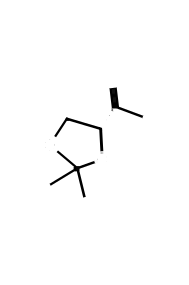 C=C(C)[C@H]1COC(C)(C)O1